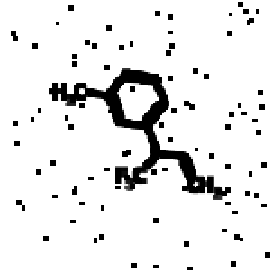 [CH2]c1cccc(C(C=C)C(F)(F)F)c1